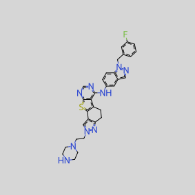 Fc1cccc(Cn2ncc3cc(Nc4ncnc5sc6c(c45)CCc4nn(CCN5CCNCC5)cc4-6)ccc32)c1